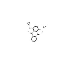 CN(c1ccc(N(C)[C@@H]2CO2)c2c1C(=O)c1ccccc1C2=O)C1CC1